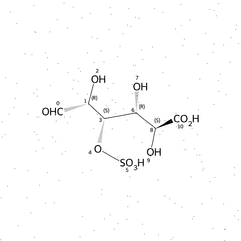 O=C[C@H](O)[C@@H](OS(=O)(=O)O)[C@H](O)[C@H](O)C(=O)O